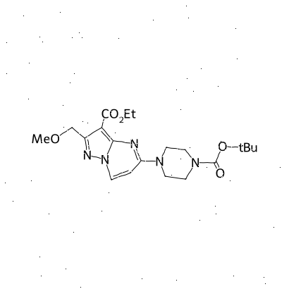 CCOC(=O)c1c(COC)nn2ccc(N3CCN(C(=O)OC(C)(C)C)CC3)nc12